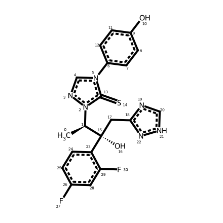 C[C@@H](n1ncn(-c2ccc(O)cc2)c1=S)[C@@](O)(Cc1nc[nH]n1)c1ccc(F)cc1F